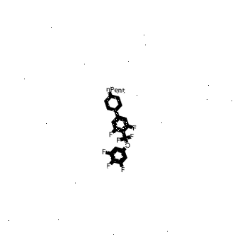 CCCCCC1CCC(c2cc(F)c(C(F)(F)Oc3cc(F)c(F)c(F)c3)c(F)c2)CC1